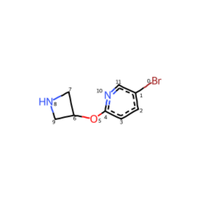 Brc1ccc(OC2CNC2)nc1